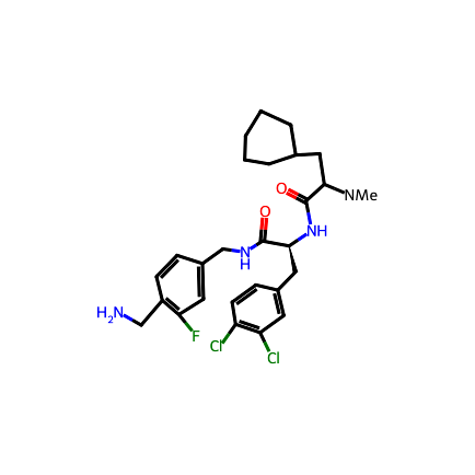 CNC(CC1CCCCC1)C(=O)N[C@@H](Cc1ccc(Cl)c(Cl)c1)C(=O)NCc1ccc(CN)c(F)c1